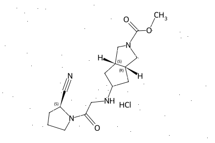 COC(=O)N1C[C@H]2CC(NCC(=O)N3CCC[C@H]3C#N)C[C@H]2C1.Cl